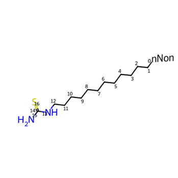 CCCCCCCCCCCCCCCCCCCCCNC(N)=S